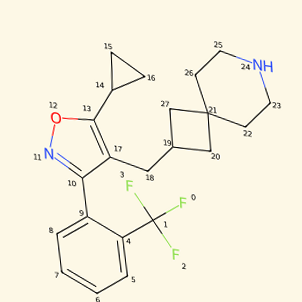 FC(F)(F)c1ccccc1-c1noc(C2CC2)c1CC1CC2(CCNCC2)C1